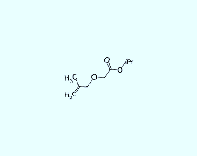 C=C(C)COCC(=O)OC(C)C